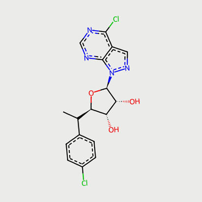 CC(c1ccc(Cl)cc1)[C@H]1O[C@@H](n2ncc3c(Cl)ncnc32)[C@H](O)[C@@H]1O